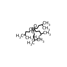 CC(C)CC[O][Ti](=[O])([CH2]CC(C)C)([CH2]CC(C)C)[O]CCC(C)C